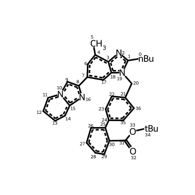 CCCCc1nc2c(C)cc(-c3cn4ccccc4n3)cc2n1Cc1ccc(-c2ccccc2C(=O)OC(C)(C)C)cc1